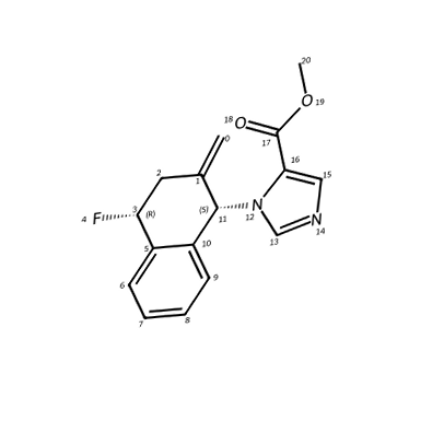 C=C1C[C@@H](F)c2ccccc2[C@H]1n1cncc1C(=O)OC